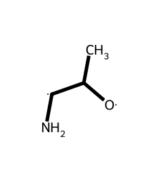 CC([O])[CH]N